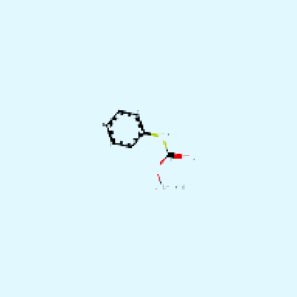 CCCC[CH]OC(=O)Sc1ccccc1